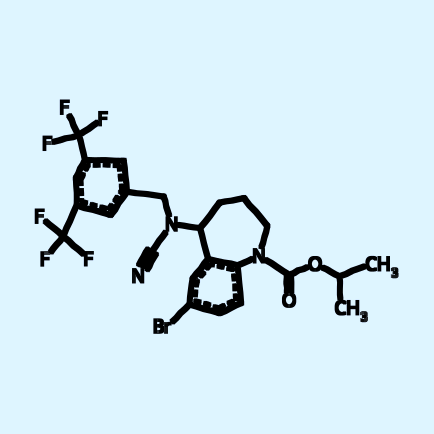 CC(C)OC(=O)N1CCCC(N(C#N)Cc2cc(C(F)(F)F)cc(C(F)(F)F)c2)c2cc(Br)ccc21